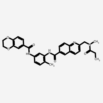 CCC(=O)N(C)Cc1ccc2cc(C(=O)Nc3cc(NC(=O)c4ccc5c(c4)OCCO5)ccc3C)ccc2n1